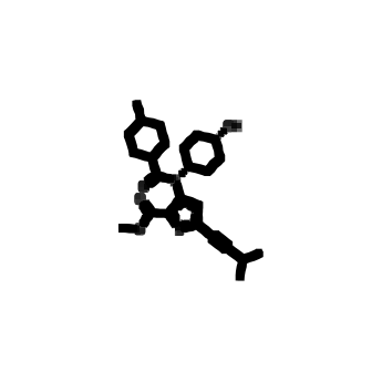 COC(=O)c1sc(C#CC(C)C)cc1N(C(=O)C1CCC(C)CC1)[C@H]1CC[C@@H](O)CC1